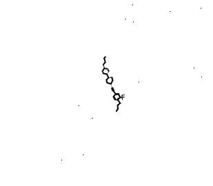 CCCCc1ccc(C#C[C@H]2CC[C@H]([C@H]3CC[C@H](CCCC)CC3)CC2)cc1F